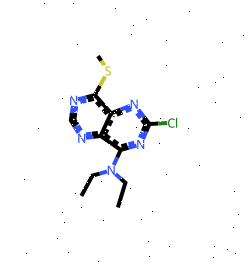 CCN(CC)c1nc(Cl)nc2c(SC)ncnc12